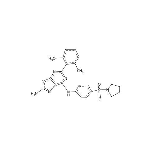 Cc1cccc(C)c1-c1nc(Nc2ccc(S(=O)(=O)N3CCCC3)cc2)c2nc(N)sc2n1